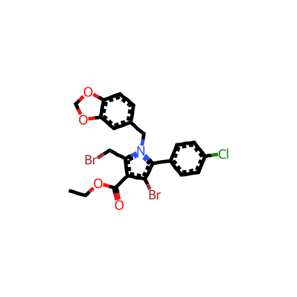 CCOC(=O)c1c(Br)c(-c2ccc(Cl)cc2)n(Cc2ccc3c(c2)OCO3)c1CBr